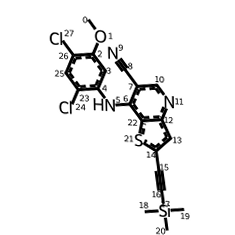 COc1cc(Nc2c(C#N)cnc3cc(C#C[Si](C)(C)C)sc23)c(Cl)cc1Cl